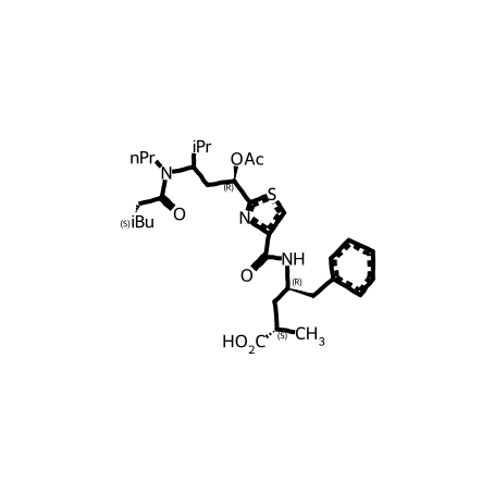 CCCN(C(=O)C[C@@H](C)CC)C(C[C@@H](OC(C)=O)c1nc(C(=O)N[C@@H](Cc2ccccc2)C[C@H](C)C(=O)O)cs1)C(C)C